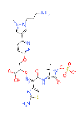 C[n+]1cc(-c2ccc(OCC(O/N=C(\C(=O)N[C@@H]3C(=O)N(OS(=O)(=O)[O-])C3(C)C)c3csc(N)n3)C(=O)O)nn2)cn1CCCN